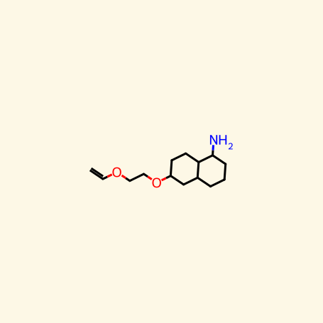 C=COCCOC1CCC2C(N)CCCC2C1